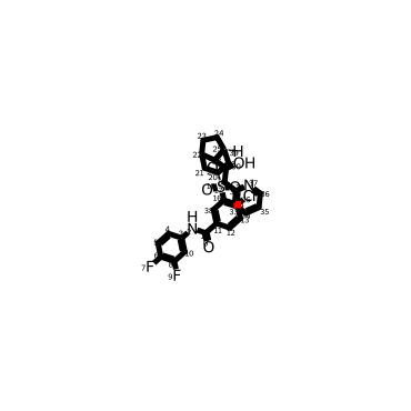 O=C(Nc1ccc(F)c(F)c1)c1ccc(Cl)c(S(=O)(=O)[C@@H]2CC3CC[C@@H](C2)[C@@]3(O)C(O)Cc2ccccn2)c1